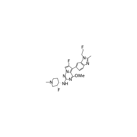 COc1nc(N[C@H]2CCN(C)C[C@H]2F)nn2cc(F)c(-c3ccc4nc(C)n(CCF)c4c3)c12